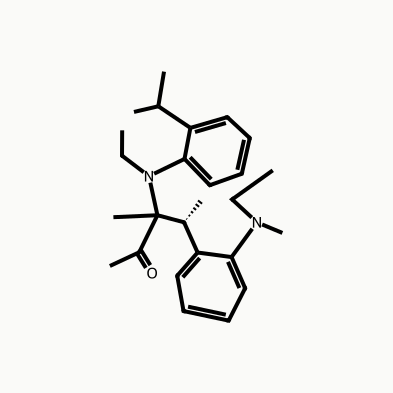 CCN(C)c1ccccc1[C@@H](C)C(C)(C(C)=O)N(CC)c1ccccc1C(C)C